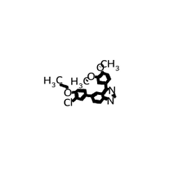 CCCOc1ccc(-c2ccc3ncnc(-c4ccc(OC)c(OC)c4)c3c2)cc1Cl